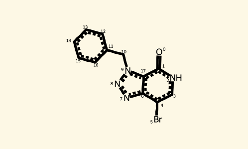 O=c1[nH]cc(Br)c2nnn(Cc3ccccc3)c12